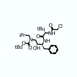 CC(C)CN(C[C@@H](O)[C@H](Cc1ccccc1)NC(=O)[C@@H](NC(=O)CCl)C(C)(C)C)C(=O)OC(C)(C)C